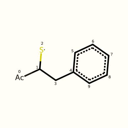 CC(=O)C([S])Cc1ccccc1